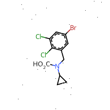 O=C(O)N(Cc1cc(Br)cc(Cl)c1Cl)C1CC1